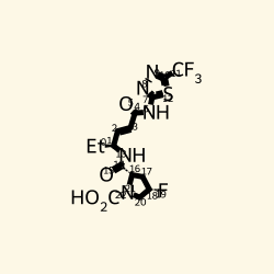 CC[C@@H](/C=C/C(=O)Nc1nnc(C(F)(F)F)s1)NC(=O)[C@@H]1C[C@H](F)CN1C(=O)O